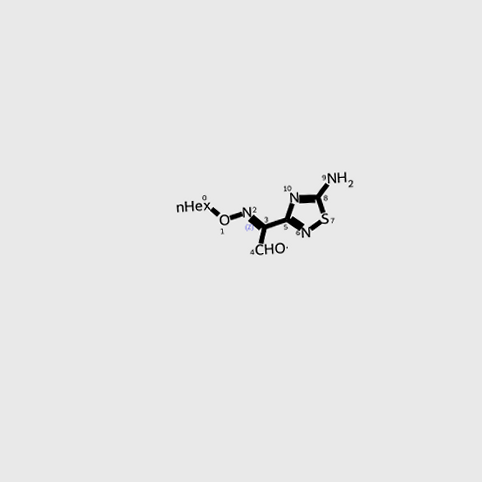 CCCCCCO/N=C(\[C]=O)c1nsc(N)n1